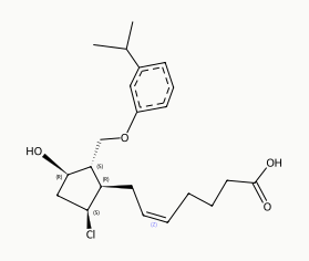 CC(C)c1cccc(OC[C@@H]2[C@@H](C/C=C\CCCC(=O)O)[C@@H](Cl)C[C@H]2O)c1